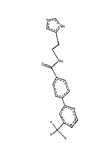 O=C(NCCc1cnc[nH]1)c1ccc(-c2cc(C(F)(F)F)ccn2)cc1